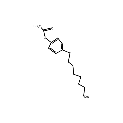 CCCCCCCCCCCCCCCCOc1ccc(OC(=O)C(=O)O)cc1